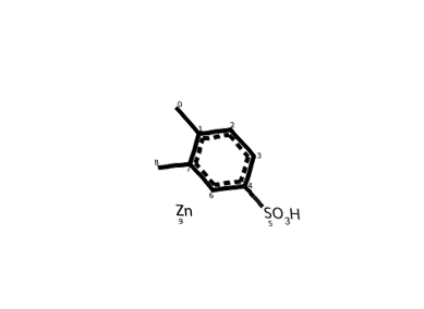 Cc1ccc(S(=O)(=O)O)cc1C.[Zn]